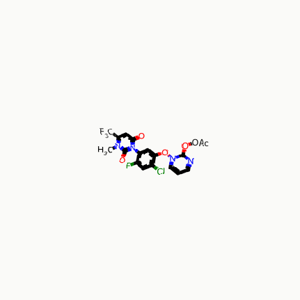 CC(=O)OOC1N=CC=CN1Oc1cc(-n2c(=O)cc(C(F)(F)F)n(C)c2=O)c(F)cc1Cl